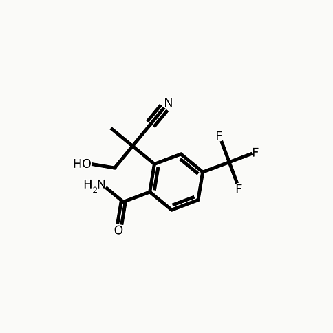 CC(C#N)(CO)c1cc(C(F)(F)F)ccc1C(N)=O